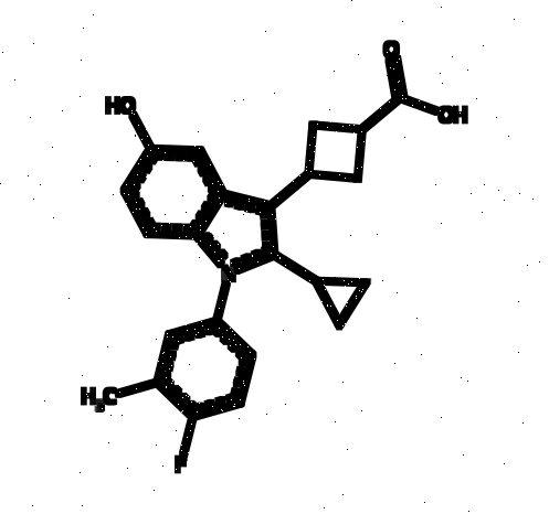 Cc1cc(-n2c(C3CC3)c(C3CC(C(=O)O)C3)c3cc(O)ccc32)ccc1F